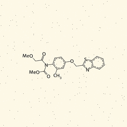 COCC(=O)N(C(=O)OC)c1ccc(OCc2nc3ccccc3s2)cc1C